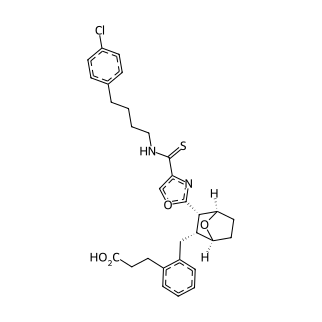 O=C(O)CCc1ccccc1C[C@@H]1[C@H](c2nc(C(=S)NCCCCc3ccc(Cl)cc3)co2)[C@H]2CC[C@@H]1O2